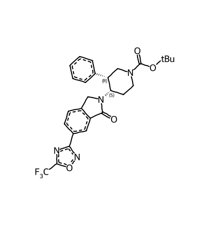 CC(C)(C)OC(=O)N1CC[C@H](N2Cc3ccc(-c4noc(C(F)(F)F)n4)cc3C2=O)[C@H](c2ccccc2)C1